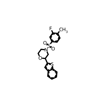 Cc1ccc(S(=O)(=O)N2CCOC(c3cc4ccccc4s3)C2)cc1F